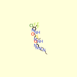 CCCN1CCN(c2cc(C(=O)NC(C)c3ncc(C(=O)Nc4cc(C(F)(F)F)c(Cl)cn4)s3)ncn2)CC1